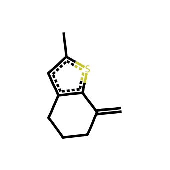 C=C1CCCc2cc(C)sc21